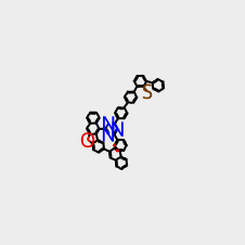 c1ccc(-c2nc(-c3ccc(-c4ccc(-c5cccc6c5sc5ccccc56)cc4)cc3)nc(-c3c4ccccc4cc4oc5ccc(-c6ccc7ccccc7c6)cc5c34)n2)cc1